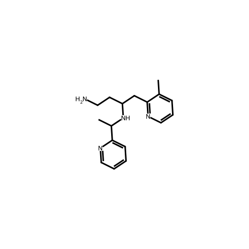 Cc1cccnc1CC(CCN)NC(C)c1ccccn1